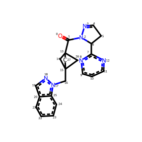 O=C(N1N=CCC1c1ncccn1)C12CC(Cn3ncc4ccccc43)(C1)C2